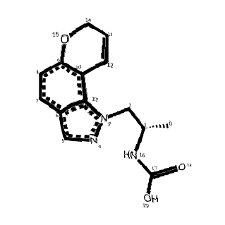 C[C@@H](Cn1ncc2ccc3c(c21)C=CCO3)NC(=O)O